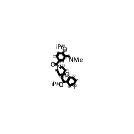 CNCc1cc(C(=O)N2CCC3(CC2)C[C@@H](OC(C)C)c2cc(F)ccc2O3)ccc1OC(C)C